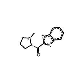 CN1CCC[C@H]1C(=O)c1nc2ccccc2o1